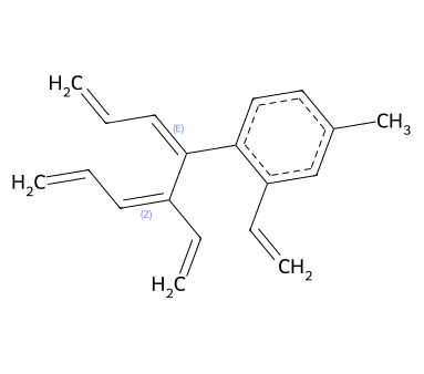 C=C/C=C(C=C)\C(=C/C=C)c1ccc(C)cc1C=C